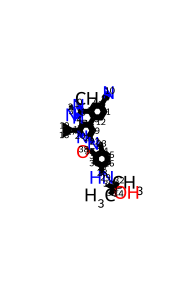 Cn1cnnc1-c1cc(C#N)ccc1-c1cc(C2CC2)nc(N2Cc3ccc(CNCC(C)(C)O)cc3C2=O)c1